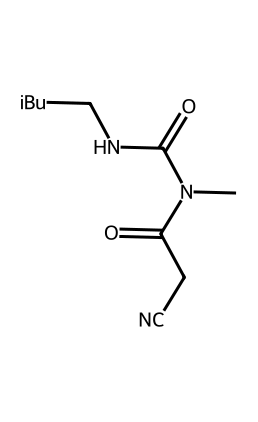 CCC(C)CNC(=O)N(C)C(=O)CC#N